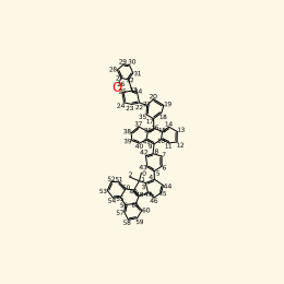 CC1(C)c2c(-c3ccc(-c4c5ccccc5c(-c5cccc(-c6ccc7oc8ccccc8c7c6)c5)c5ccccc45)cc3)cccc2-c2c1c1ccccc1c1ccccc21